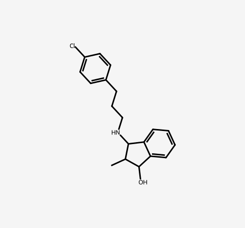 CC1C(O)c2ccccc2C1NCCCc1ccc(Cl)cc1